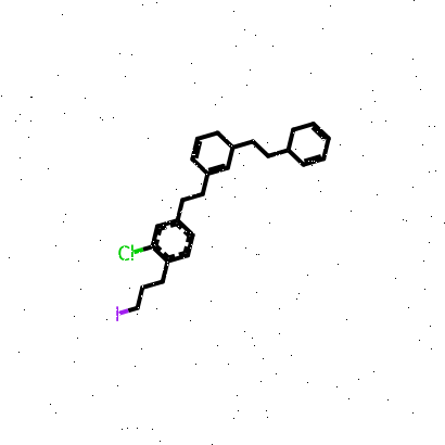 Clc1cc(CCC2=CC(CCC3C=CC=CC3)CC=C2)ccc1CCCI